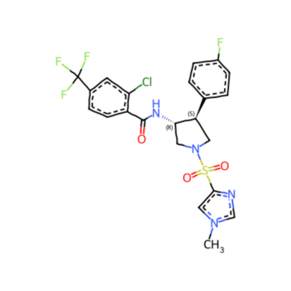 Cn1cnc(S(=O)(=O)N2C[C@H](NC(=O)c3ccc(C(F)(F)F)cc3Cl)[C@@H](c3ccc(F)cc3)C2)c1